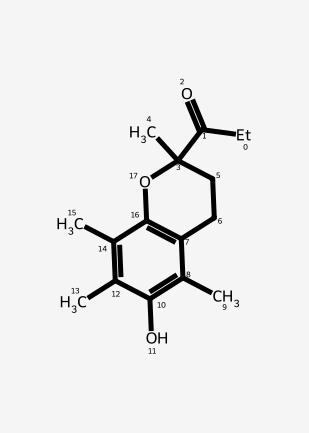 CCC(=O)C1(C)CCc2c(C)c(O)c(C)c(C)c2O1